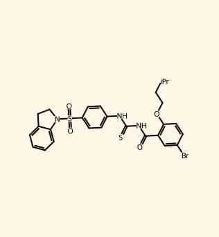 CC(C)CCOc1ccc(Br)cc1C(=O)NC(=S)Nc1ccc(S(=O)(=O)N2CCc3ccccc32)cc1